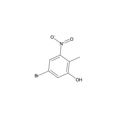 Cc1c(O)cc(Br)cc1[N+](=O)[O-]